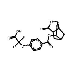 O=C(OC1C2CC3C(=O)OC1C3C2)c1ccc(OC(F)(F)C(=O)O)cc1